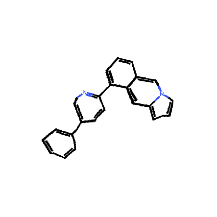 c1ccc(-c2ccc(-c3cccc4cn5cccc5cc34)nc2)cc1